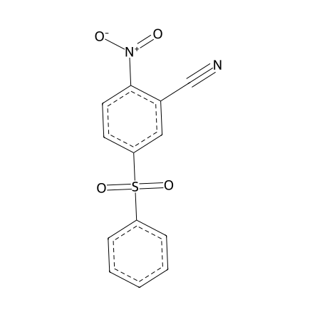 N#Cc1cc(S(=O)(=O)c2ccccc2)ccc1[N+](=O)[O-]